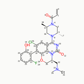 C=CC(=O)N1C[C@H](C)N(c2nc(=O)n3c4c(c(-c5c(O)cccc5F)c(Cl)cc24)OC[C@@H]3CN(C)CC)C[C@H]1C